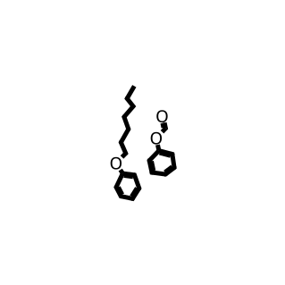 CCCCCCCOc1ccccc1.O=COc1ccccc1